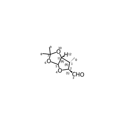 C[C@@H]1[C@@H](C=O)OC2OC(C)(C)O[C@@H]21